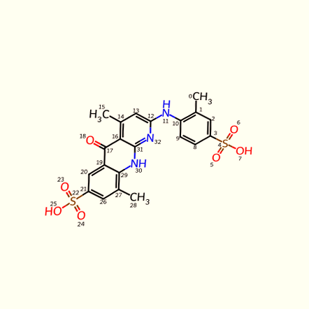 Cc1cc(S(=O)(=O)O)ccc1Nc1cc(C)c2c(=O)c3cc(S(=O)(=O)O)cc(C)c3[nH]c2n1